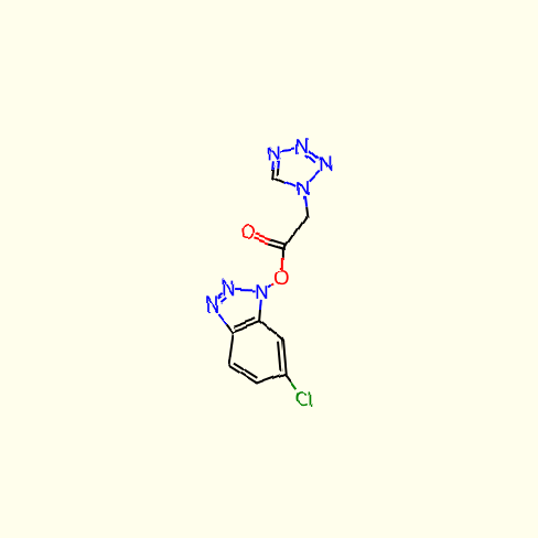 O=C(Cn1cnnn1)On1nnc2ccc(Cl)cc21